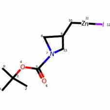 CC(C)(C)OC(=O)N1CC([CH2][Zn][I])C1